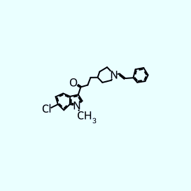 Cn1cc(C(=O)CCC2CCN(C=Cc3ccccc3)CC2)c2ccc(Cl)cc21